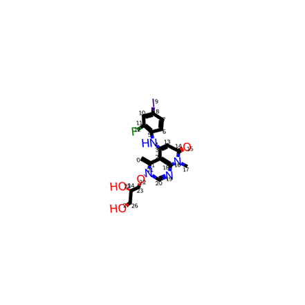 C=C1c2c(Nc3ccc(I)cc3F)cc(=O)n(C)c2N=CN1OC[C@H](O)CO